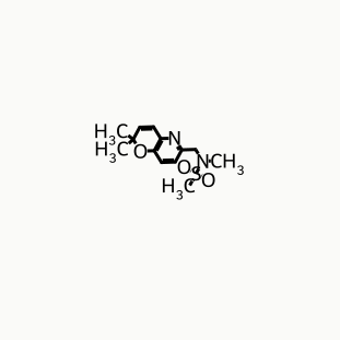 CN(Cc1ccc2c(n1)C=CC(C)(C)O2)S(C)(=O)=O